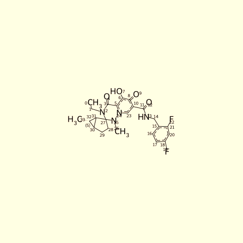 CCN1C(=O)c2c(O)c(=O)c(C(=O)NCc3ccc(F)cc3F)cn2N(C)C12CCC1C2[C@H]1C